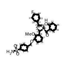 COc1c(OCc2ccc(S(N)(=O)=O)cc2)cccc1C1SC(c2ccc(F)cc2)=NN1C(=O)c1ccccc1O